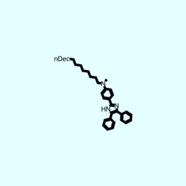 CCCCCCCCCCCCCCCCCCN(C)c1ccc(-c2nc(-c3ccccc3)c(-c3ccccc3)[nH]2)cc1